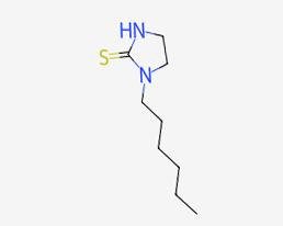 CCCCCCN1CCNC1=S